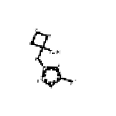 OC1(Cn2cc(Br)cn2)CCC1